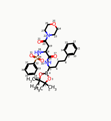 CC1(C)OB(C(CCCc2ccccc2)NC(=O)C(CC(=O)N2CCOCC2)NS(=O)(=O)c2ccccc2)OC1(C)C